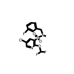 CN(Cc1cccc(F)c1)S(=O)(=O)c1cc(Cl)cnc1OC(F)F